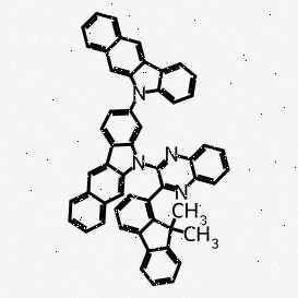 CC1(C)c2ccccc2-c2cccc(-c3nc4ccccc4nc3-n3c4cc(-n5c6ccccc6c6cc7ccccc7cc65)ccc4c4cc5ccccc5cc43)c21